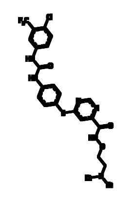 CCN(CC)CCONC(=O)c1cc(Sc2ccc(NC(=O)Nc3ccc(Cl)c(C(F)(F)F)c3)cc2)ncn1